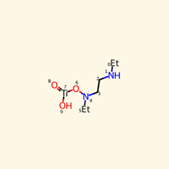 CCNCCN(CC)[O][Ti](=[O])[OH]